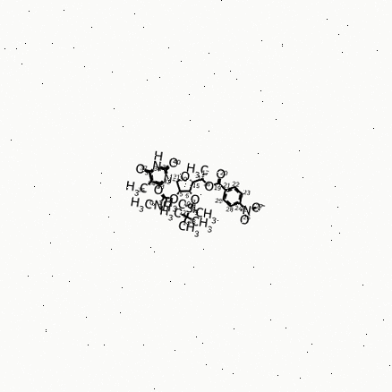 CNC(=O)O[C@@H]1[C@H](O[Si](C)(C)C(C)(C)C)[C@@H]([C@H](C)OC(=O)c2ccc([N+](=O)[O-])cc2)O[C@H]1n1cc(C)c(=O)[nH]c1=O